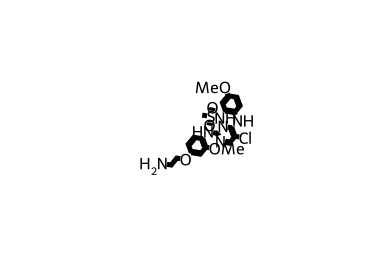 COc1ccc(Nc2nc(Nc3ccc(OCCN)cc3OC)ncc2Cl)c(NS(C)(=O)=O)c1